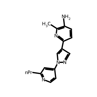 CCCc1cc(-n2cc(-c3ccc(N)c(C)n3)cn2)ccn1